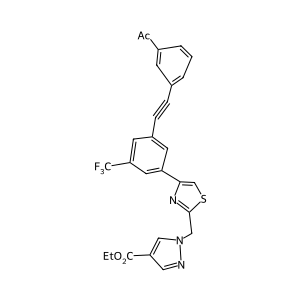 CCOC(=O)c1cnn(Cc2nc(-c3cc(C#Cc4cccc(C(C)=O)c4)cc(C(F)(F)F)c3)cs2)c1